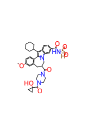 COc1ccc2c(c1)CC(C(=O)N1CCN(C(=O)C3(O)CC3)CC1)Cn1c-2c(C2CCCCC2)c2ccc(C(=O)N[SH](=O)=O)cc21